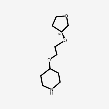 C1CC(OCCO[C@H]2CCOC2)CCN1